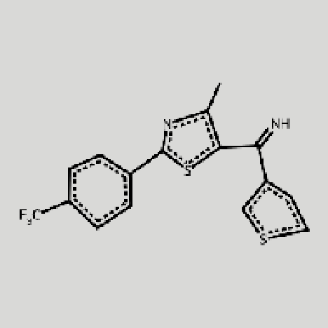 Cc1nc(-c2ccc(C(F)(F)F)cc2)sc1C(=N)c1ccsc1